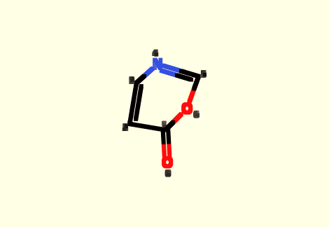 O=c1ccnco1